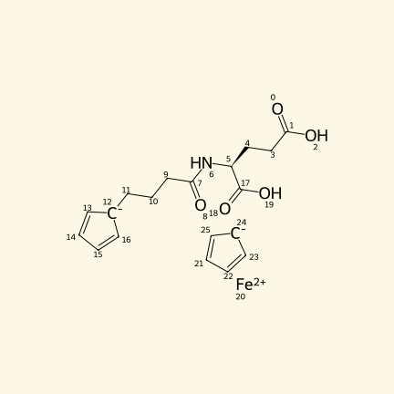 O=C(O)CC[C@H](NC(=O)CCC[c-]1cccc1)C(=O)O.[Fe+2].c1cc[cH-]c1